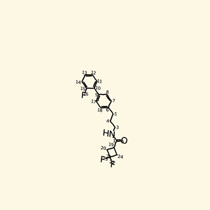 O=C(NCCCc1ccc(-c2ccccc2F)cc1)C1CC(F)(F)C1